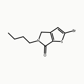 CCCCN1Cc2cc(Br)sc2C1=O